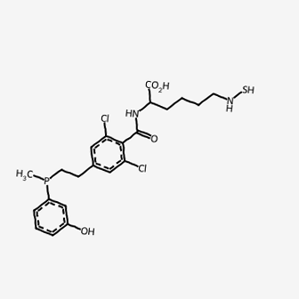 CP(CCc1cc(Cl)c(C(=O)NC(CCCCNS)C(=O)O)c(Cl)c1)c1cccc(O)c1